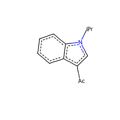 CC(=O)c1cn(C(C)C)c2ccccc12